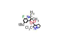 Cc1nc2c(F)cc(C(C)(C)C)cc2c(OC(=O)c2c(C(Cl)(Cl)Cl)nn3c2CCC3)c1C